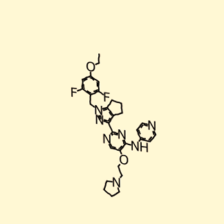 CCOc1cc(F)c(Cn2nc(-c3ncc(OCCN4CCCC4)c(Nc4ccncc4)n3)c3c2CCC3)c(F)c1